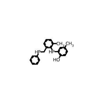 Cc1ccc(O)c(Pc2c(C)cccc2CPc2ccccc2)c1